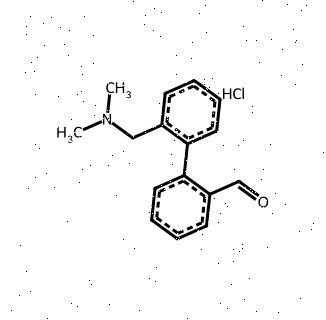 CN(C)Cc1ccccc1-c1ccccc1C=O.Cl